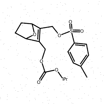 Cc1ccc(S(=O)(=O)OCC2=C(COC(=O)OC(C)C)C3CCC2O3)cc1